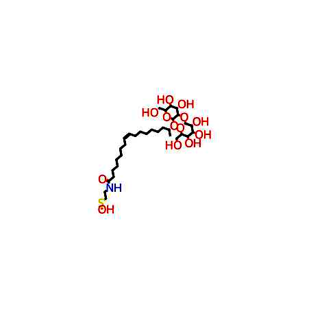 CC(CCCCCC/C=C\CCCCCCCC(=O)NCCSO)OC1OC(CO)C(O)C(O)C1OC1OC(CO)C(O)C(O)C1O